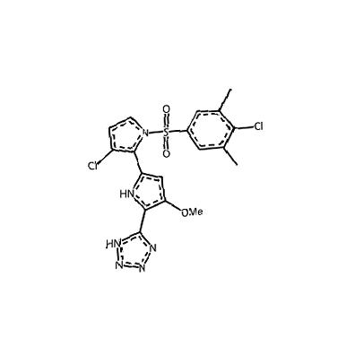 COc1cc(-c2c(Cl)ccn2S(=O)(=O)c2cc(C)c(Cl)c(C)c2)[nH]c1-c1nnn[nH]1